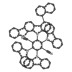 N#Cc1c(-n2c3ccccc3c3ccccc32)c(-n2c3ccccc3c3ccccc32)c(C#N)c(-n2c3cccc(-c4cccc5ccccc45)c3c3ccc4c5ccccc5sc4c32)c1-n1c2ccccc2c2ccccc21